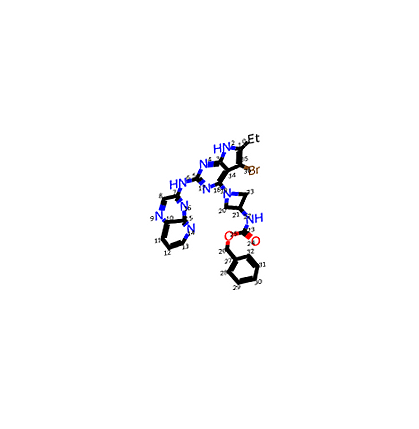 CCc1[nH]c2nc(Nc3cnc4cccnc4n3)nc(N3CC(NC(=O)OCc4ccccc4)C3)c2c1Br